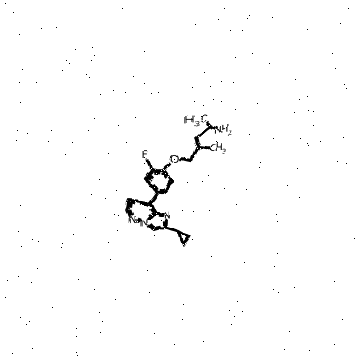 CC(N)CC(C)COc1ccc(-c2ccnn3cc(C4CC4)nc23)cc1F